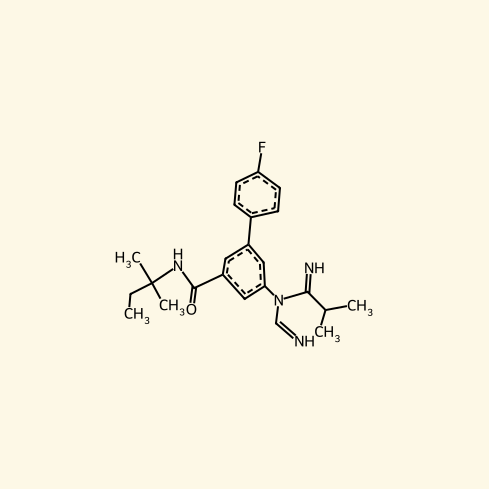 CCC(C)(C)NC(=O)c1cc(-c2ccc(F)cc2)cc(N(C=N)C(=N)C(C)C)c1